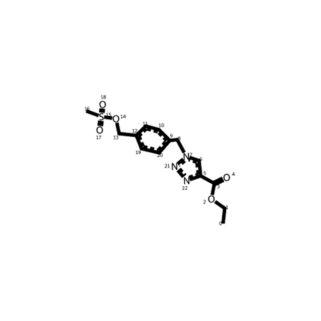 CCOC(=O)c1cn(Cc2ccc(COS(C)(=O)=O)cc2)nn1